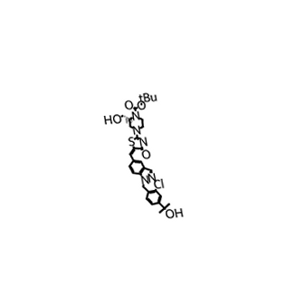 CC(C)(C)OC(=O)N1CCN(C2=NC(=O)C(=Cc3ccc4c(cnn4Cc4ccc(C(C)(C)O)cc4Cl)c3)S2)C[C@@H]1CO